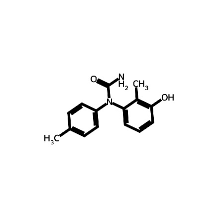 Cc1ccc(N(C(N)=O)c2cccc(O)c2C)cc1